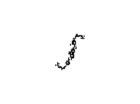 CC(CCOc1ccc(C(=O)Oc2ccc3c(c2)C(C)(C)c2cc(OC(=O)c4ccc(OCCC(C)CCC5OC5(C)C)cc4F)ccc2-3)c(F)c1)CCC1OC1(C)C